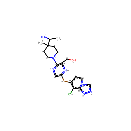 CC(N)C1(C)CCN(c2ncc(Sc3ccn4cnnc4c3Cl)nc2CO)CC1